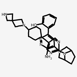 Nc1nnc(-c2ccccc2O)cc1N1CC2CCC(C1)N2c1ncc(C2CCC(N3CC4(CNC4)C3)CC2)cn1